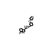 Fc1cccc2c(CCNCc3cccc(Oc4ccncc4)c3)c[nH]c12